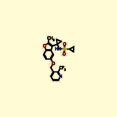 Cc1oc2ccc(OCc3cccnc3C(F)(F)F)cc2c1C1(NS(=O)(=O)C2CC2)CC1